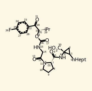 CCCCCCCC1C[C@]1(NC(=O)[C@@H]1CCCN1C(=O)CNC(=O)O[C@H](C(=O)c1ccc(F)cc1)C(C)C)C(=O)O